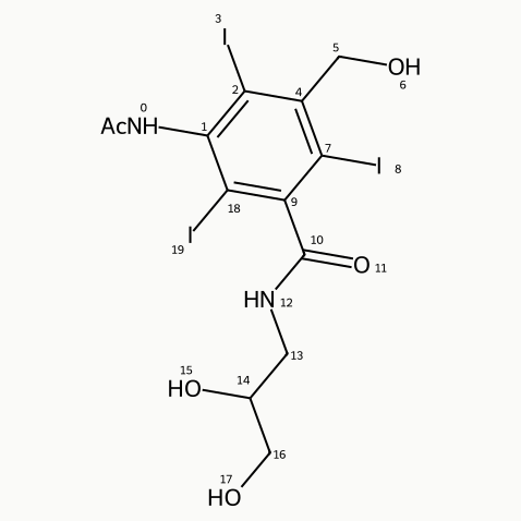 CC(=O)Nc1c(I)c(CO)c(I)c(C(=O)NCC(O)CO)c1I